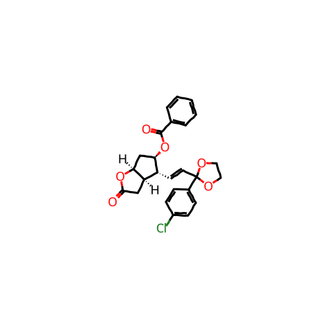 O=C1C[C@@H]2[C@@H](/C=C/C3(c4ccc(Cl)cc4)OCCO3)[C@H](OC(=O)c3ccccc3)C[C@@H]2O1